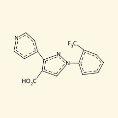 O=C(O)c1cn(-c2ccccc2C(F)(F)F)nc1-c1ccncc1